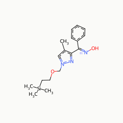 Cc1cn(COCC[Si](C)(C)C)nc1/C(=N/O)c1ccccc1